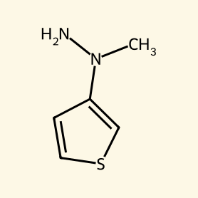 CN(N)c1ccsc1